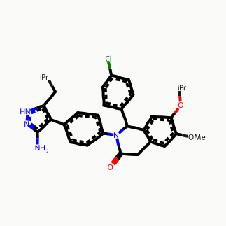 COc1cc2c(cc1OC(C)C)C(c1ccc(Cl)cc1)N(c1ccc(-c3c(N)n[nH]c3CC(C)C)cc1)C(=O)C2